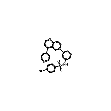 N#Cc1ccc(S(=O)(=O)Nc2cncc(-c3ccc4nccc(-c5ccncc5)c4c3)c2)cc1